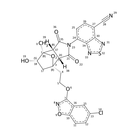 C[C@]12O[C@](CCOc3noc4ccc(Cl)cc34)(C[C@@H]1O)[C@H]1C(=O)N(c3ccc(C#N)c4nsnc34)C(=O)[C@H]12